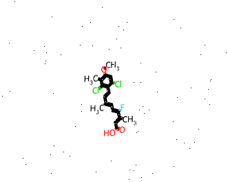 COc1cc(Cl)c(C=CC(C)=CC=C(F)C(C)=CC(=O)O)c(Cl)c1C